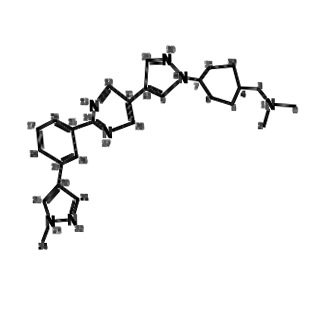 CN(C)CC1CCC(n2cc(-c3cnc(-c4cccc(-c5cnn(C)c5)c4)nc3)cn2)CC1